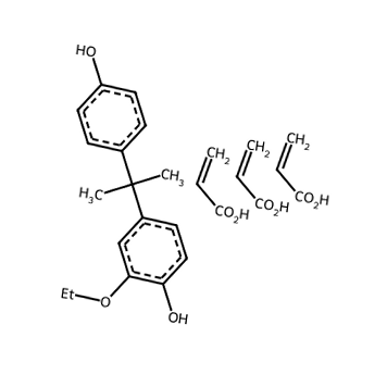 C=CC(=O)O.C=CC(=O)O.C=CC(=O)O.CCOc1cc(C(C)(C)c2ccc(O)cc2)ccc1O